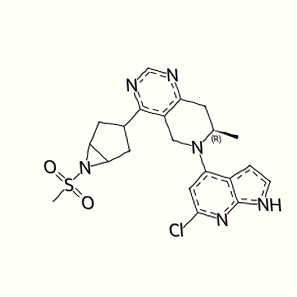 C[C@@H]1Cc2ncnc(C3CC4C(C3)N4S(C)(=O)=O)c2CN1c1cc(Cl)nc2[nH]ccc12